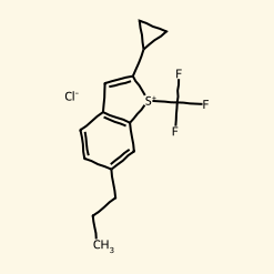 CCCc1ccc2cc(C3CC3)[s+](C(F)(F)F)c2c1.[Cl-]